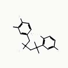 COc1ccc(F)cc1C(C)(C)CC(O)(Cc1ccc(F)c(F)c1)C(=O)O